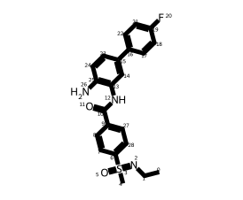 CCN=S(C)(=O)c1ccc(C(=O)Nc2cc(-c3ccc(F)cc3)ccc2N)cc1